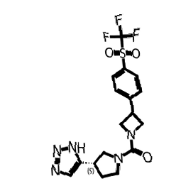 O=C(N1CC(c2ccc(S(=O)(=O)C(F)(F)F)cc2)C1)N1CC[C@H](c2cnn[nH]2)C1